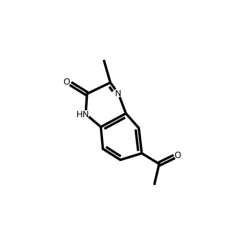 CC(=O)c1ccc2[nH]c(=O)c(C)nc2c1